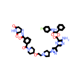 Nc1ncc(-c2cnn(C3CCN(CCOC4CCN(C(=O)c5cccc(C(=O)NC6CCC(=O)NC6=O)c5)CC4)CC3)c2)nc1C(=O)O[C@@H](C(=O)Nc1ccc(F)cc1)c1ccccc1